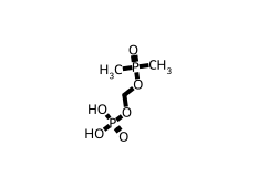 CP(C)(=O)OCOP(=O)(O)O